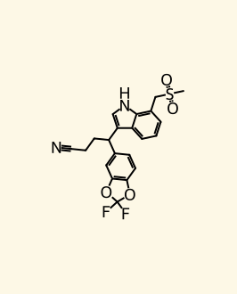 CS(=O)(=O)Cc1cccc2c(C(CCC#N)c3ccc4c(c3)OC(F)(F)O4)c[nH]c12